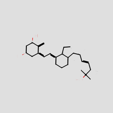 C=C1C(=CC=C2CCC[C@@]3(C)C2CC[C@@H]3[C@H](C)/C=C/[C@H](C)C(C)(C)O)C[C@@H](O)C[C@H]1O